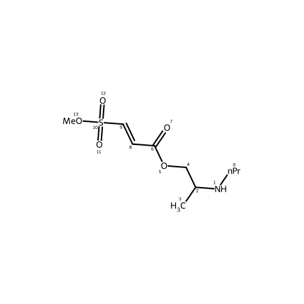 CCCNC(C)COC(=O)C=CS(=O)(=O)OC